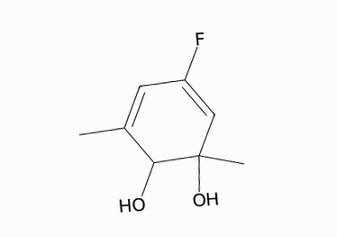 CC1=CC(F)=CC(C)(O)C1O